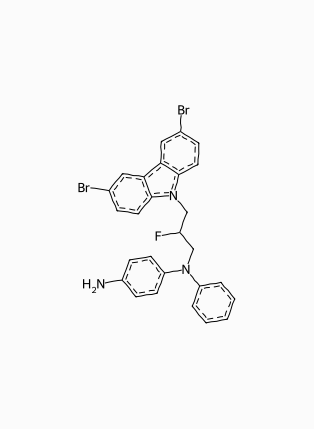 Nc1ccc(N(CC(F)Cn2c3ccc(Br)cc3c3cc(Br)ccc32)c2ccccc2)cc1